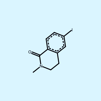 CN1CCc2cc(I)ccc2C1=O